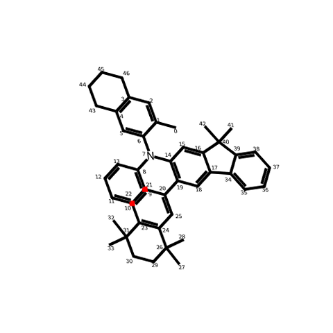 Cc1cc2c(cc1N(c1ccccc1)c1cc3c(cc1-c1ccc4c(c1)C(C)(C)CCC4(C)C)-c1ccccc1C3(C)C)CCCC2